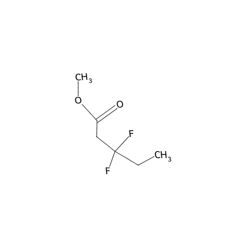 CCC(F)(F)CC(=O)OC